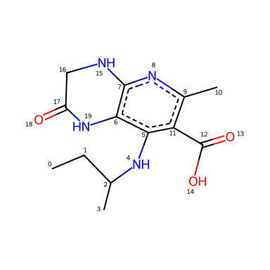 CCC(C)Nc1c2c(nc(C)c1C(=O)O)NCC(=O)N2